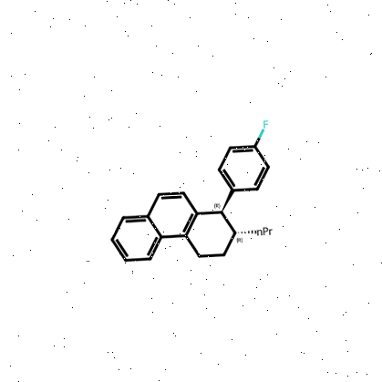 CCC[C@@H]1CCc2c(ccc3ccccc23)[C@H]1c1ccc(F)cc1